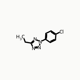 CCc1nnn(-c2ccc(Cl)cc2)n1